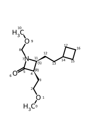 COCC[C@H]1C(=O)N(COC)[C@H]1CCC1CCC1